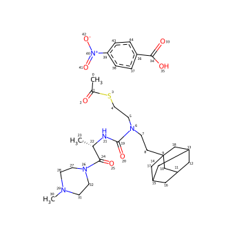 CC(=O)SCCN(CCC12CC3CC(CC(C3)C1)C2)C(=O)N[C@@H](C)C(=O)N1CCN(C)CC1.O=C(O)c1ccc([N+](=O)[O-])cc1